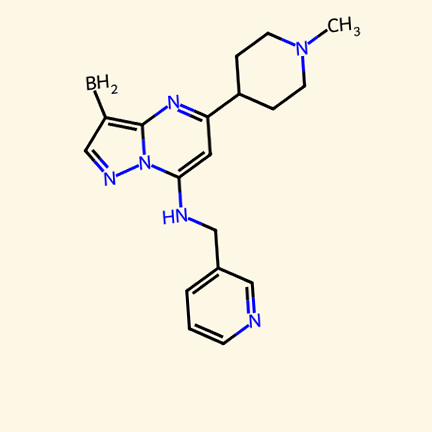 Bc1cnn2c(NCc3cccnc3)cc(C3CCN(C)CC3)nc12